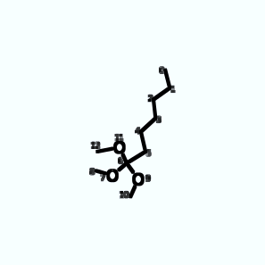 CCCCCCC(OC)(OC)OC